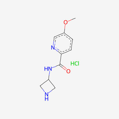 COc1ccc(C(=O)NC2CNC2)nc1.Cl